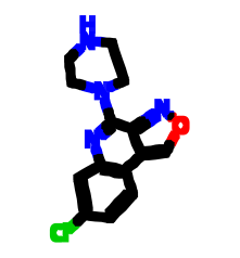 Clc1ccc2c(c1)nc(N1CCNCC1)c1nocc12